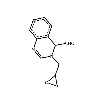 O=CC1c2ccccc2N=CN1CC1CO1